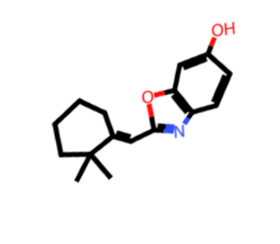 CC1(C)CCCCC1=Cc1nc2ccc(O)cc2o1